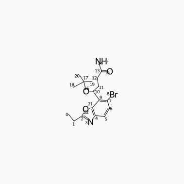 CCc1nc2ccc(Br)c(C(CCC([NH])=O)OC(C)(C)C)c2o1